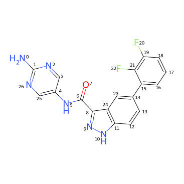 Nc1ncc(NC(=O)c2n[nH]c3ccc(-c4cccc(F)c4F)cc23)cn1